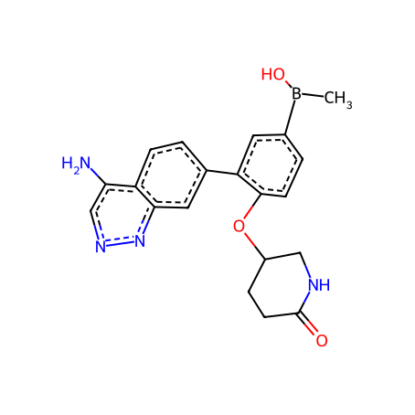 CB(O)c1ccc(OC2CCC(=O)NC2)c(-c2ccc3c(N)cnnc3c2)c1